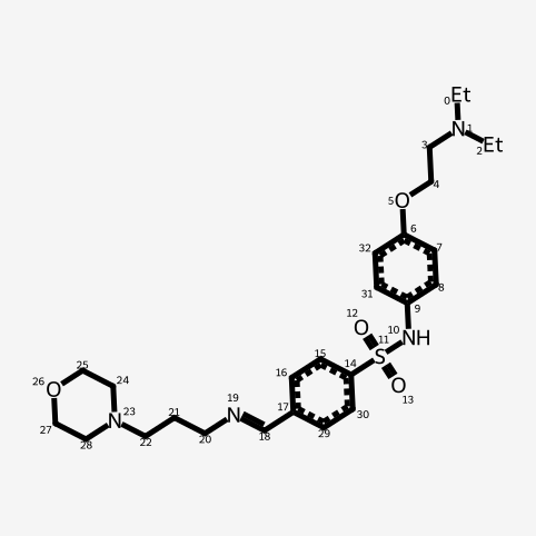 CCN(CC)CCOc1ccc(NS(=O)(=O)c2ccc(C=NCCCN3CCOCC3)cc2)cc1